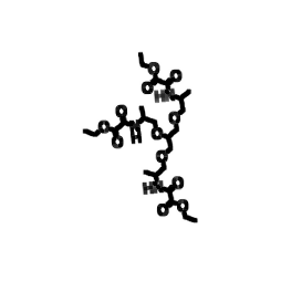 CCOC(=O)C(=O)NC(C)COCC(COCC(C)NC(=O)C(=O)OCC)OCC(C)NC(=O)C(=O)OCC